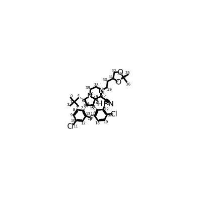 CC(C)(C)C[C@H]1[C@@H](c2ccc(Cl)cc2F)[C@@H](c2cccc(Cl)c2F)[C@@H]2C(C#N)N(CCC3COC(C)(C)O3)CCN12